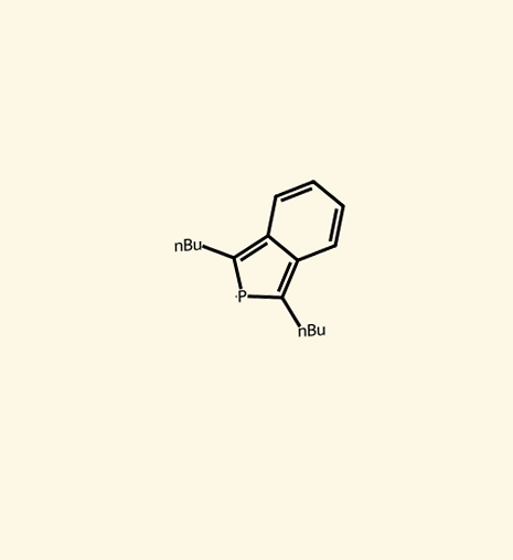 CCCCC1=c2ccccc2=C(CCCC)[P]1